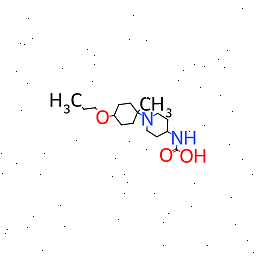 CCCOC1CCC(C)(N2CCC(NC(=O)O)CC2)CC1